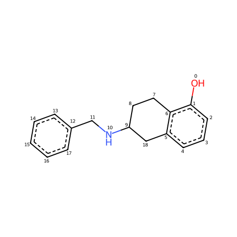 Oc1cccc2c1CCC(NCc1ccccc1)C2